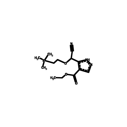 CCOC(=O)c1cn[nH]c1C(C#N)OCC[Si](C)(C)C